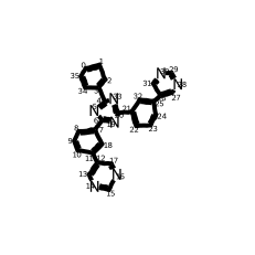 c1ccc(-c2nc(-c3cccc(-c4cncnc4)c3)nc(-c3cccc(-c4cncnc4)c3)n2)cc1